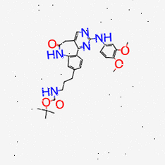 COc1ccc(Nc2ncc3c(n2)-c2ccc(CCCNC(=O)OC(C)(C)C)cc2NC(=O)C3)cc1OC